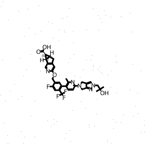 Cc1nc(N2Cc3cn(CC(C)(C)O)nc3C2)ccc1-c1cc(COc2cc3c(cn2)[C@H]2[C@@H](C3)[C@@H]2C(=O)O)c(F)cc1C(F)(F)F